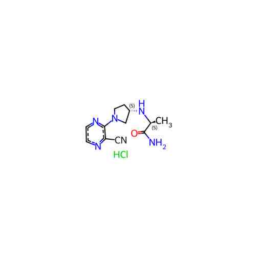 C[C@H](N[C@H]1CCN(c2nccnc2C#N)C1)C(N)=O.Cl